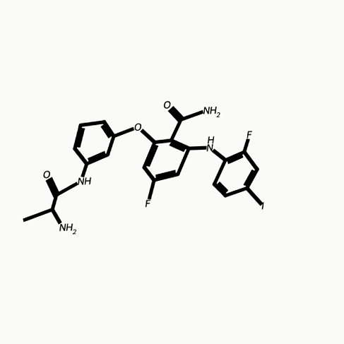 CC(N)C(=O)Nc1cccc(Oc2cc(F)cc(Nc3ccc(I)cc3F)c2C(N)=O)c1